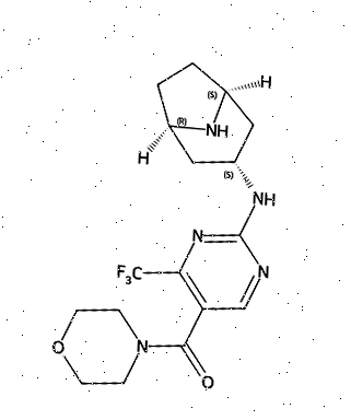 O=C(c1cnc(N[C@@H]2C[C@H]3CC[C@@H](C2)N3)nc1C(F)(F)F)N1CCOCC1